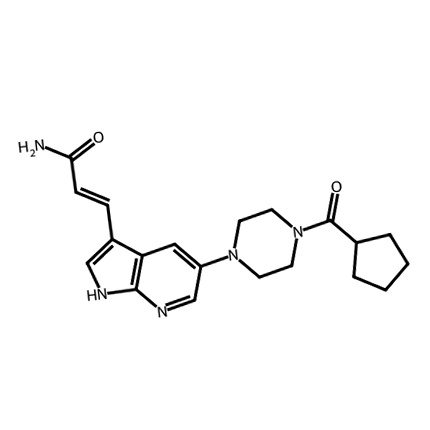 NC(=O)/C=C/c1c[nH]c2ncc(N3CCN(C(=O)C4CCCC4)CC3)cc12